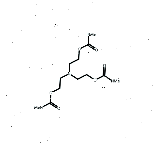 CNC(=O)OCCN(CCOC(=O)NC)CCOC(=O)NC